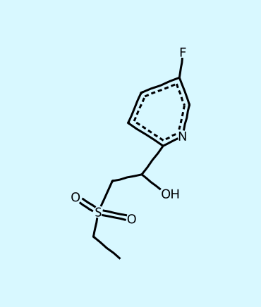 CCS(=O)(=O)CC(O)c1ccc(F)cn1